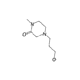 CN1CCN(CCC[O])CC1=O